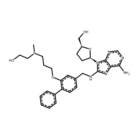 CN(CCO)CCCOc1cc(CNc2nc3c(N)ncnc3n2[C@H]2CC[C@@H](CO)O2)ccc1-c1ccccc1